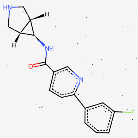 O=C(N[C@H]1[C@@H]2CNC[C@@H]21)c1ccc(-c2cccc(F)c2)nc1